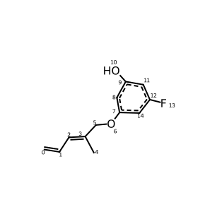 C=C/C=C(\C)COc1cc(O)cc(F)c1